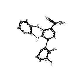 COC(=O)c1cnc(-c2cccc(F)c2F)cc1Oc1ccccc1Cl